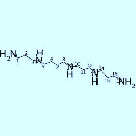 NCCCNCCCCNCCCNCCCN